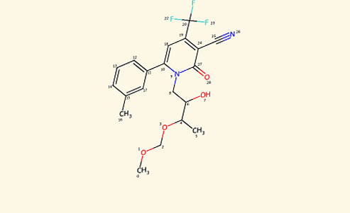 COCOC(C)C(O)Cn1c(-c2cccc(C)c2)cc(C(F)(F)F)c(C#N)c1=O